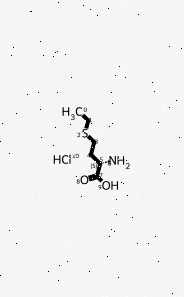 CCSCC[C@H](N)C(=O)O.Cl